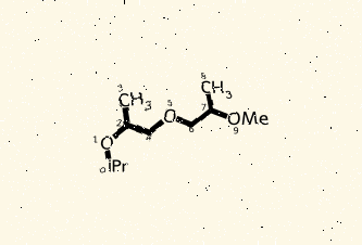 [CH2]C(C)OC(C)COCC(C)OC